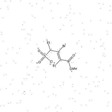 CC/C(C(=O)OC)=C(/Br)C(CC)S(=O)(=O)Cl